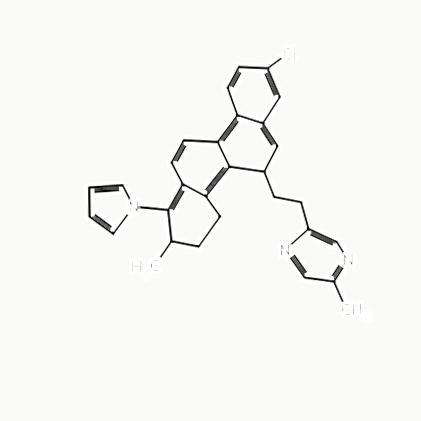 Cc1cnc(CCC2C=c3cc(Cl)ccc3=c3ccc4c(c32)CCC(C)C=4n2cccc2)cn1